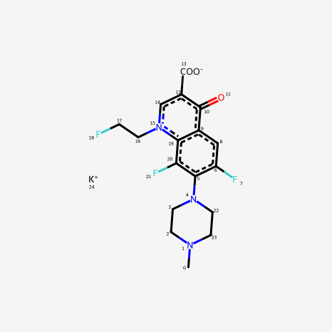 CN1CCN(c2c(F)cc3c(=O)c(C(=O)[O-])cn(CCF)c3c2F)CC1.[K+]